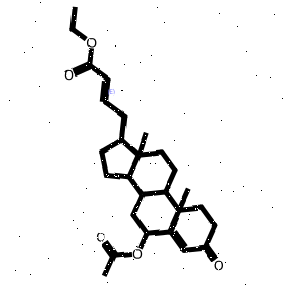 CCOC(=O)/C=C/CC1CCC2C3CC(OC(C)=O)C4=CC(=O)CCC4(C)C3CCC12C